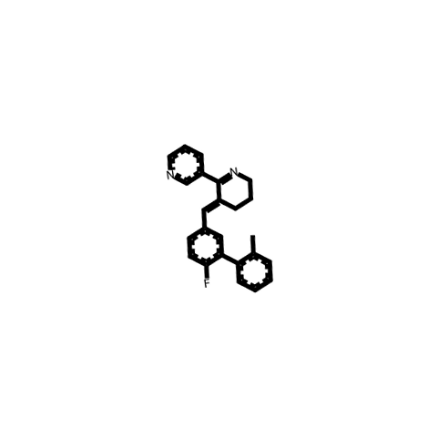 Cc1ccccc1-c1cc(C=C2CCCN=C2c2cccnc2)ccc1F